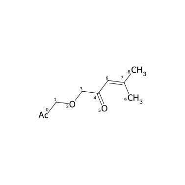 CC(=O)COCC(=O)C=C(C)C